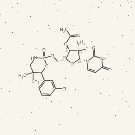 CC(=O)O[C@@H]1[C@@H](COP2(=O)NCC(C)(C)C(c3cccc(Cl)c3)O2)O[C@@H](n2ccc(=O)[nH]c2=O)[C@]1(C)F